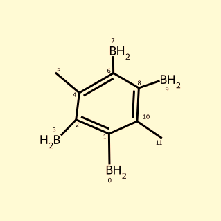 Bc1c(B)c(C)c(B)c(B)c1C